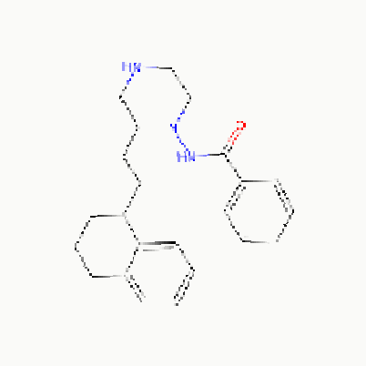 O=C(NN1CCNCC1CCC1CCCc2ccccc21)c1ccccc1